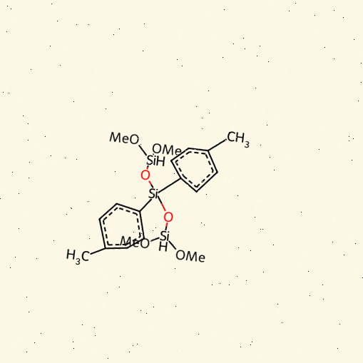 CO[SiH](OC)O[Si](O[SiH](OC)OC)(c1ccc(C)cc1)c1ccc(C)cc1